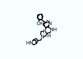 Oc1ccccc1-c1cc2c(nn1)NC[C@H]1CN(CC3CC4CC3CN4)CCN21